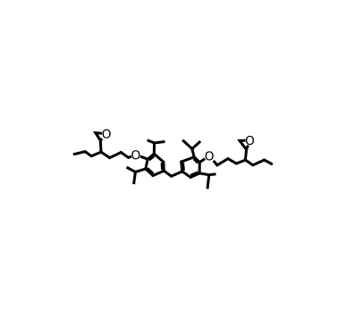 CCCC(CCCOc1c(C(C)C)cc(Cc2cc(C(C)C)c(OCCCC(CCC)C3CO3)c(C(C)C)c2)cc1C(C)C)C1CO1